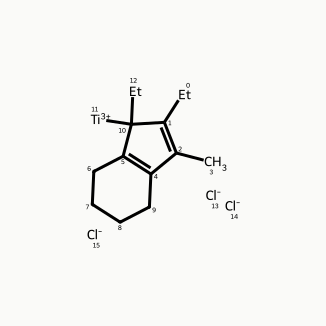 CCC1=C(C)C2=C(CCCC2)[C]1([Ti+3])CC.[Cl-].[Cl-].[Cl-]